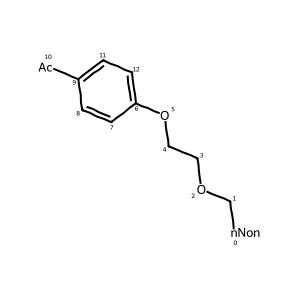 CCCCCCCCCCOCCOc1ccc(C(C)=O)cc1